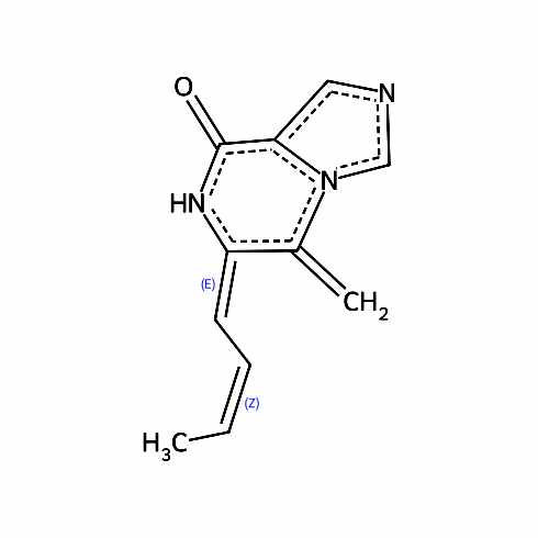 C=c1/c(=C\C=C/C)[nH]c(=O)c2cncn12